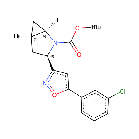 CC(C)(C)OC(=O)N1[C@@H](c2cc(-c3cccc(Cl)c3)on2)C[C@H]2C[C@H]21